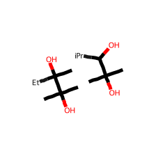 CC(C)C(O)C(C)(C)O.CCC(C)(O)C(C)(C)O